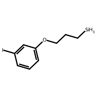 [SiH3]CCCOc1cccc(I)c1